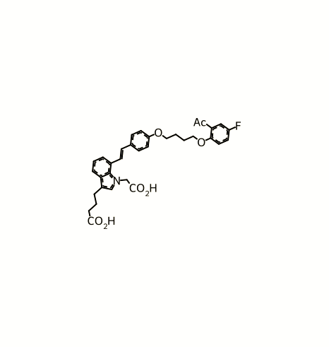 CC(=O)c1cc(F)ccc1OCCCCOc1ccc(C=Cc2cccc3c(CCCC(=O)O)cn(CC(=O)O)c23)cc1